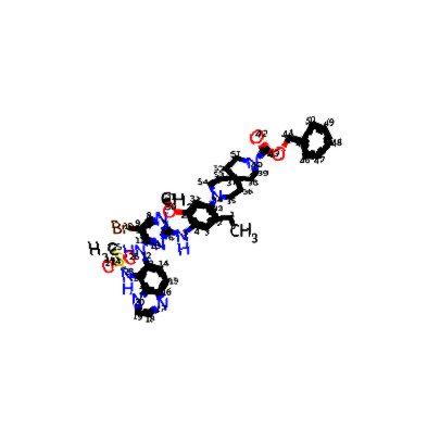 CCc1cc(Nc2ncc(Br)c(Nc3ccc4nccnc4c3NS(C)(=O)=O)n2)c(OC)cc1N1CCC2(CCN(C(=O)OCc3ccccc3)CC2)CC1